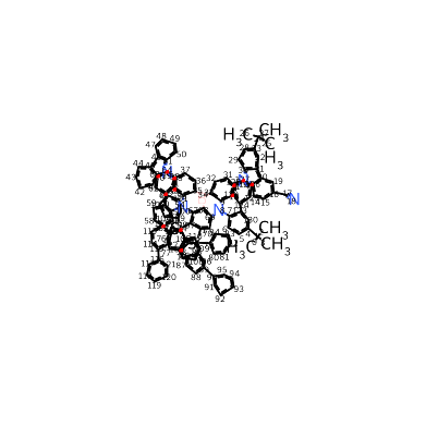 CC(C)(C)c1ccc(N2c3cc(-n4c5ccc(C#N)cc5c5cc(C(C)(C)C)ccc54)ccc3B3c4ccc(-n5c6ccccc6c6ccccc65)cc4N(c4ccccc4-c4ccccc4)c4c3c2cc([Si](c2ccccc2)(c2ccccc2)c2cccc(-c3ccccc3)c2)c4[Si](c2ccccc2)(c2ccccc2)c2cccc(-c3ccccc3)c2)c(-c2ccccc2)c1